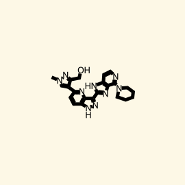 Cn1cc(-c2ccc3[nH]nc(-c4nc5c(N6CCCCC6)nccc5[nH]4)c3n2)c(CO)n1